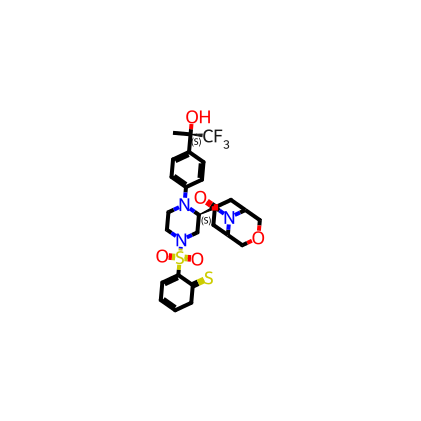 C[C@](O)(c1ccc(N2CCN(S(=O)(=O)C3=CC=CCC3=S)C[C@@H]2CN2C3COCC2CC(=O)C3)cc1)C(F)(F)F